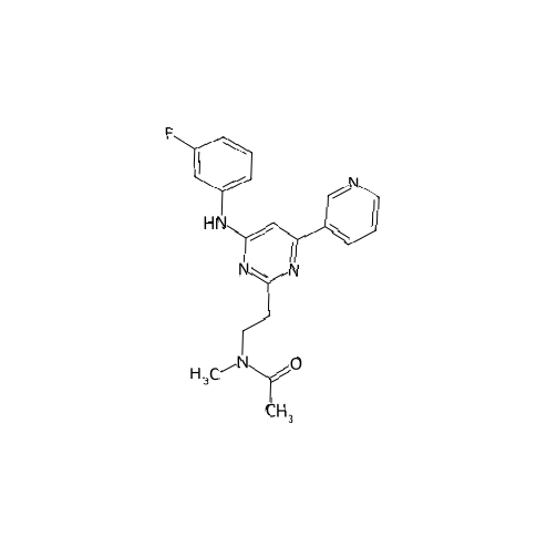 CC(=O)N(C)CCc1nc(Nc2cccc(F)c2)cc(-c2cccnc2)n1